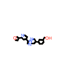 OCc1cccc(-c2cnn3c(-c4ccnc(-c5ccoc5)c4)cnc3c2)c1